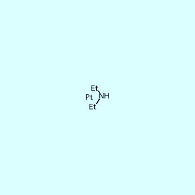 CCNCC.[Pt]